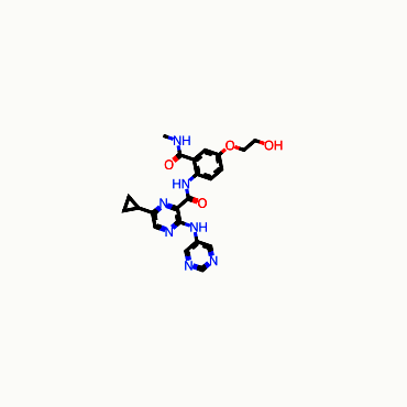 CNC(=O)c1cc(OCCO)ccc1NC(=O)c1nc(C2CC2)cnc1Nc1cncnc1